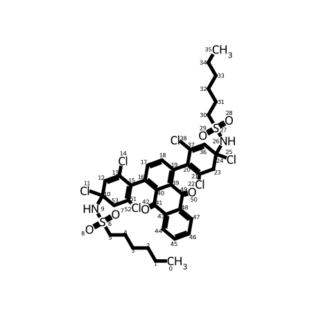 CCCCCCS(=O)(=O)NC1(Cl)C=C(Cl)C(c2ccc(C3=C(Cl)CC(Cl)(NS(=O)(=O)CCCCCC)C=C3Cl)c3c2C(=O)c2ccccc2C3=O)=C(Cl)C1